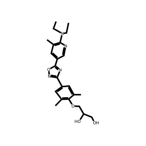 CCN(CC)c1ncc(-c2nc(-c3cc(C)c(OCC(O)CO)c(C)c3)no2)cc1C